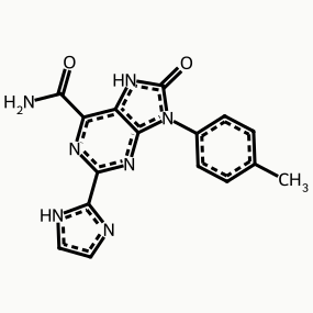 Cc1ccc(-n2c(=O)[nH]c3c(C(N)=O)nc(-c4ncc[nH]4)nc32)cc1